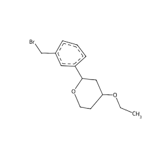 CCOC1CCOC(c2cccc(CBr)c2)C1